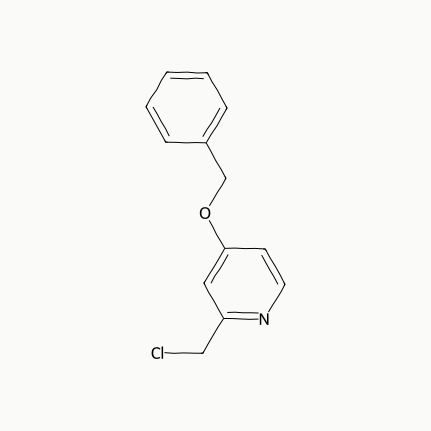 ClCc1cc(OCc2ccccc2)ccn1